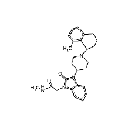 CNC(=O)Cn1c(=O)n(C2CCN(C3CCCc4cccc(C)c43)CC2)c2ccccc21